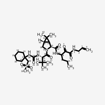 C=CCNC(=O)C(=O)C(CCC)NC(=O)[C@@H]1C2[C@H](CN1C(=O)[C@@H](NC(=O)NC1(CS(C)(=O)=O)CCCCC1)C(C)(C)C)C2(C)C